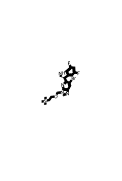 C[Si](C)(C)CCOCn1cnc2cc(Br)c([C@H](CN)c3cc(F)cc(F)c3)nc21